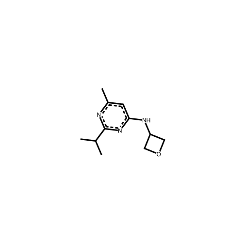 Cc1cc(NC2COC2)nc(C(C)C)n1